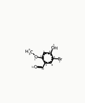 COc1cc(O)c(Br)cc1C=O